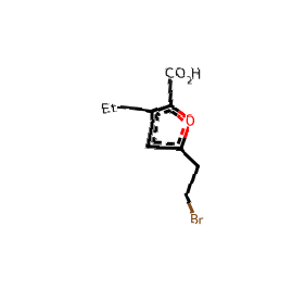 CCc1cc(CCBr)oc1C(=O)O